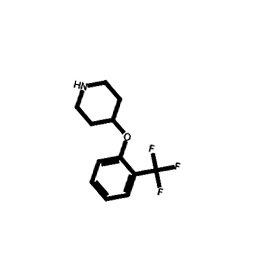 FC(F)(F)c1ccccc1OC1C[CH]NCC1